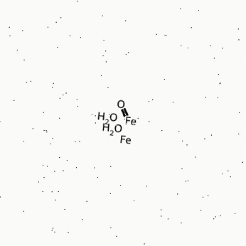 O.O.[Fe].[O]=[Fe]